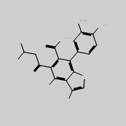 CCC(CC)CC(=O)c1c(C(=O)OC)c(-c2ccc(OC)c(OC)c2)c2scc(C)c2c1O